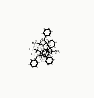 CC(C)(C)[C@@H](N(C(=O)C1(C(N)=O)CCCCC1)[C@H](C(C)(C)C)C(O)(Cc1ccccc1)Cc1ccccc1)C(O)(Cc1ccccc1)Cc1ccccc1